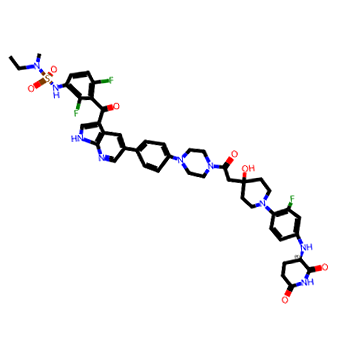 CCN(C)S(=O)(=O)Nc1ccc(F)c(C(=O)c2c[nH]c3ncc(-c4ccc(N5CCN(C(=O)CC6(O)CCN(c7ccc(N[C@@H]8CCC(=O)NC8=O)cc7F)CC6)CC5)cc4)cc23)c1F